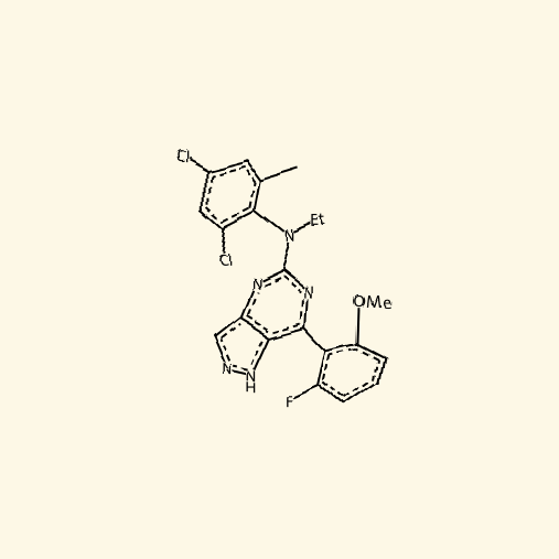 CCN(c1nc(-c2c(F)cccc2OC)c2[nH]ncc2n1)c1c(C)cc(Cl)cc1Cl